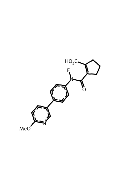 COc1ccc(-c2ccc(N(F)C(=O)C3=C(C(=O)O)CCC3)cc2)cn1